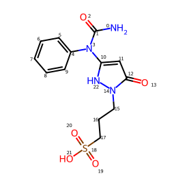 NC(=O)N(c1ccccc1)c1cc(=O)n(CCCS(=O)(=O)O)[nH]1